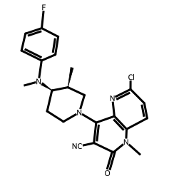 C[C@H]1CN(c2c(C#N)c(=O)n(C)c3ccc(Cl)nc23)CC[C@H]1N(C)c1ccc(F)cc1